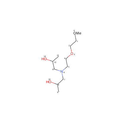 COCCOCCN(CC(C)O)CC(C)O